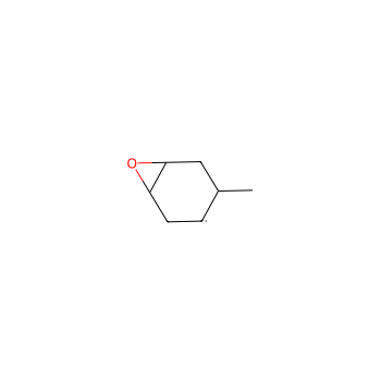 CC1[CH]CC2OC2C1